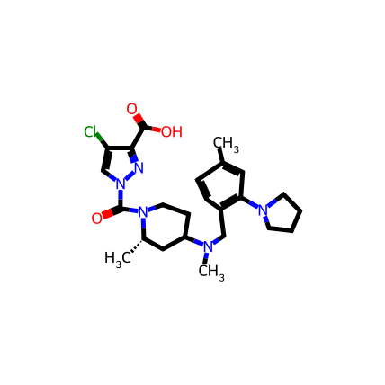 Cc1ccc(CN(C)C2CCN(C(=O)n3cc(Cl)c(C(=O)O)n3)[C@@H](C)C2)c(N2CCCC2)c1